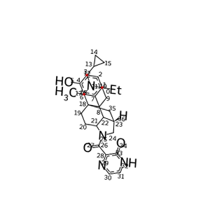 CCc1ccc(O)cc1C12CCN(CC3CC3)C(C)C13CCC1C2[C@@H](CN1C(=O)c1ncc[nH]c1=O)C3